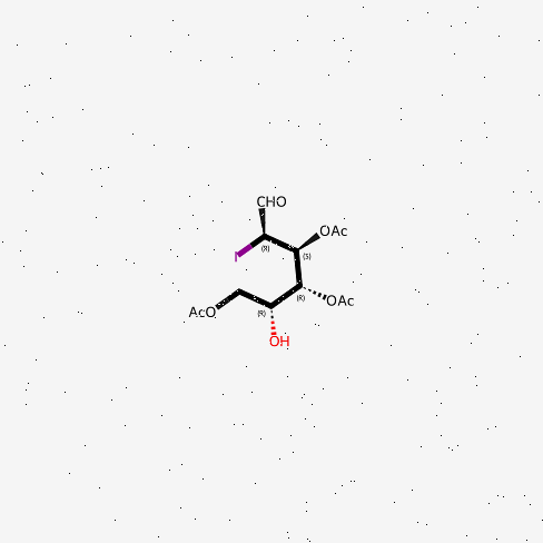 CC(=O)OC[C@@H](O)[C@@H](OC(C)=O)[C@H](OC(C)=O)[C@@H](I)C=O